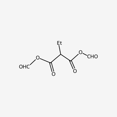 CCC(C(=O)OC=O)C(=O)OC=O